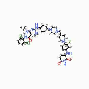 CN1CN(c2c(Cl)cccc2Cl)C(=O)c2cnc(Nc3ccc(N4CCN(CC5CCN(c6ccc(NC7CCC(=O)NC7=O)cc6F)CC5)CC4)cc3)nc21